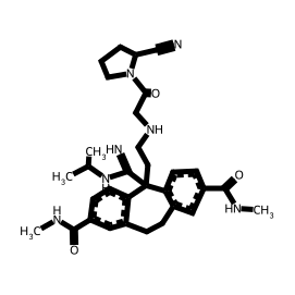 CNC(=O)c1ccc2c(c1)CCc1cc(C(=O)NC)ccc1C2(CCNCC(=O)N1CCCC1C#N)C(=N)NC(C)C